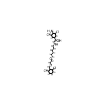 Nc1c(Cl)cc([C@@H](O)CNCCCCCCOCCOCc2c(Cl)cccc2Cl)cc1Cl